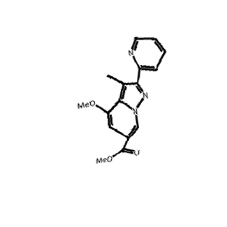 COC(=O)c1cc(OC)c2c(C)c(-c3ccccn3)nn2c1